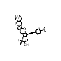 CN(C)c1ccc(C#Cc2ccc(Cn3cnn(CC(CN)=C(F)F)c3=O)s2)cn1.O=C(O)C(F)(F)F